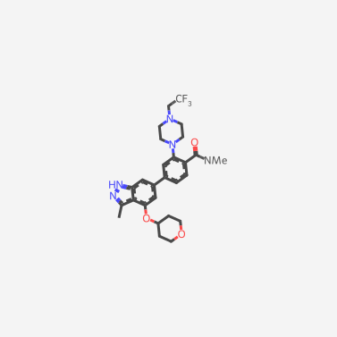 CNC(=O)c1ccc(-c2cc(OC3CCOCC3)c3c(C)n[nH]c3c2)cc1N1CCN(CC(F)(F)F)CC1